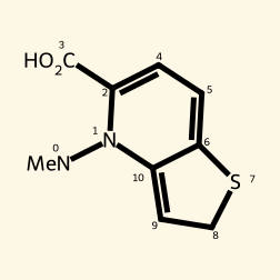 CNN1C(C(=O)O)=CC=C2SCC=C21